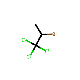 CC(Br)C(Cl)(Cl)Cl